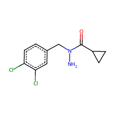 NN(Cc1ccc(Cl)c(Cl)c1)C(=O)C1CC1